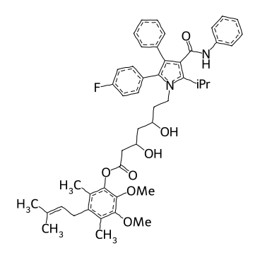 COc1c(C)c(CC=C(C)C)c(C)c(OC(=O)CC(O)CC(O)CCn2c(-c3ccc(F)cc3)c(-c3ccccc3)c(C(=O)Nc3ccccc3)c2C(C)C)c1OC